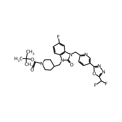 CC(C)(C)OC(=O)N1CCC(Cn2c(=O)n(Cc3ccc(-c4nnc(C(F)F)o4)cn3)c3cc(F)ccc32)CC1